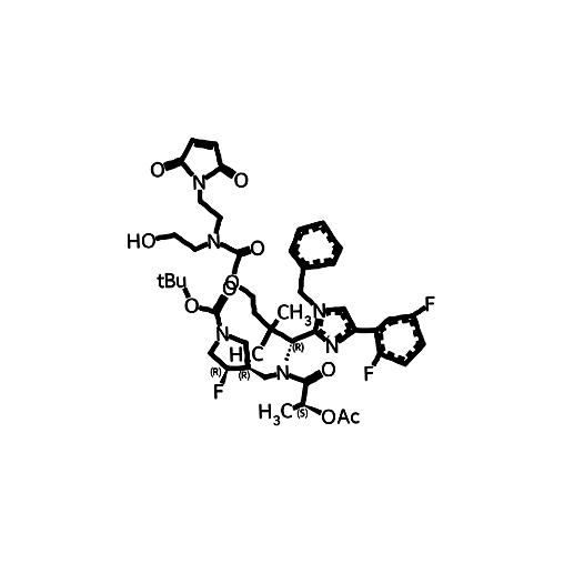 CC(=O)O[C@@H](C)C(=O)N(C[C@@H]1CN(C(=O)OC(C)(C)C)C[C@@H]1F)[C@@H](c1nc(-c2cc(F)ccc2F)cn1Cc1ccccc1)C(C)(C)CCOC(=O)N(CCO)CCN1C(=O)C=CC1=O